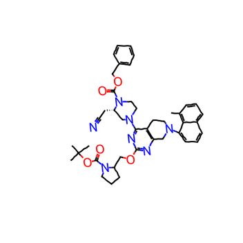 Cc1cccc2cccc(N3CCc4c(nc(OCC5CCCN5C(=O)OC(C)(C)C)nc4N4CCN(C(=O)OCc5ccccc5)[C@@H](CC#N)C4)C3)c12